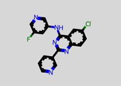 Fc1cncc(Nc2nc(-c3cccnc3)nc3ccc(Cl)cc23)c1